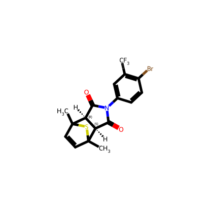 CC12C=CC(C)(S1)[C@H]1C(=O)N(c3ccc(Br)c(C(F)(F)F)c3)C(=O)[C@H]12